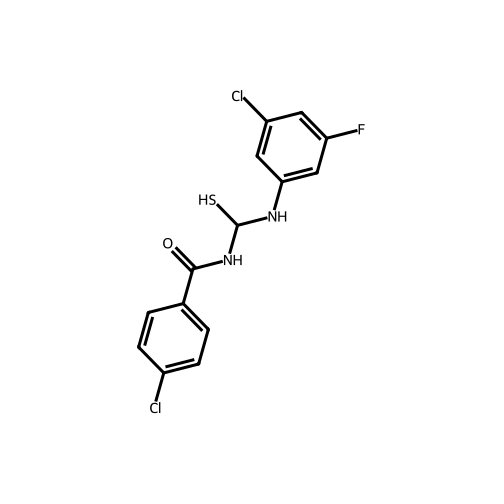 O=C(NC(S)Nc1cc(F)cc(Cl)c1)c1ccc(Cl)cc1